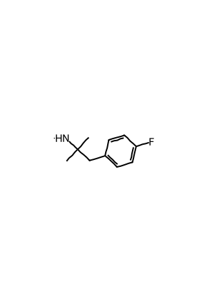 CC(C)([NH])Cc1ccc(F)cc1